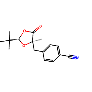 CC(C)(C)[C@@H]1OC(=O)[C@@](C)(Cc2ccc(C#N)cc2)O1